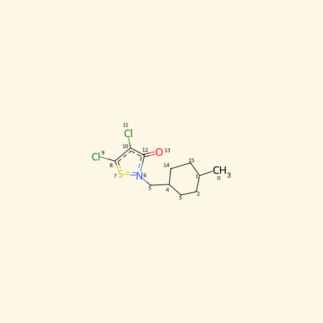 CC1CCC(Cn2sc(Cl)c(Cl)c2=O)CC1